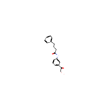 O=C(CCCc1ccccc1)Nc1cccc(C(=O)CO)c1